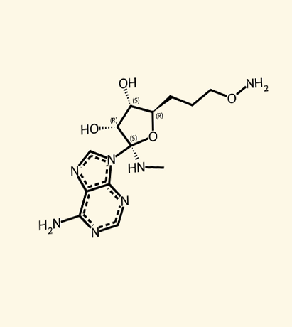 CN[C@@]1(n2cnc3c(N)ncnc32)O[C@H](CCCON)[C@@H](O)[C@H]1O